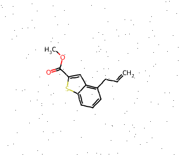 C=CCc1cccc2sc(C(=O)OC)cc12